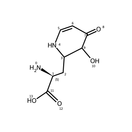 N[C@@H](CC1NC=CC(=O)C1O)C(=O)O